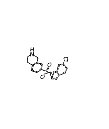 O=S(=O)(c1ccc2c(c1)CNCC2)n1ccc2ccc(Cl)cc21